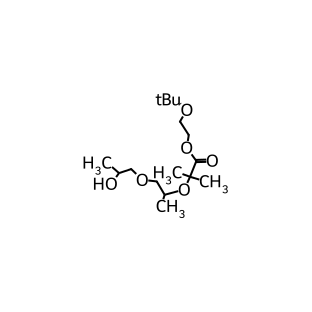 CC(O)COCC(C)OC(C)(C)C(=O)OCCOC(C)(C)C